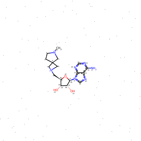 CN1CCC2(C1)CN(C[C@H]1O[C@@H](n3cnc4c(N)ncnc43)[C@H](O)[C@@H]1O)C2